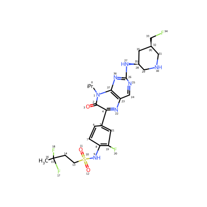 CC(C)n1c(=O)c(-c2ccc(NS(=O)(=O)CCC(C)(F)F)c(F)c2)nc2cnc(N[C@@H]3CNC[C@H](CF)C3)nc21